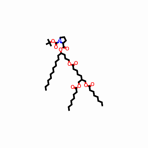 CCCCCCCCCCCCC(CCCOC(=O)CCCCC(COC(=O)CCCCCCC)COC(=O)CCCCCCC)OC(=O)C1CCCN1C(=O)OC(C)(C)C